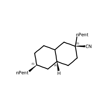 CCCCC[C@H]1CCC2C[C@](C#N)(CCCCC)CC[C@@H]2C1